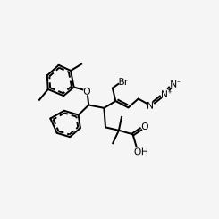 Cc1ccc(C)c(OC(c2ccccc2)C(CC(C)(C)C(=O)O)/C(=C/CN=[N+]=[N-])CBr)c1